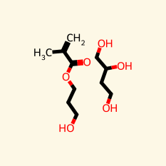 C=C(C)C(=O)OCCCO.OCCC(O)CO